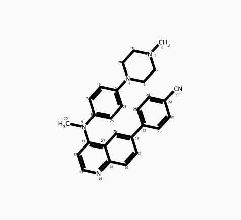 CN1CCN(c2ccc(N(C)c3ccnc4ccc(-c5ccc(C#N)cc5)cc34)cc2)CC1